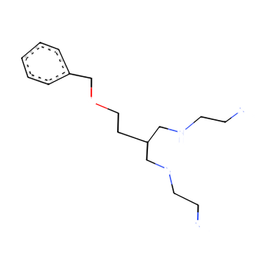 NCCNCC(CCOCc1ccccc1)CNCCN